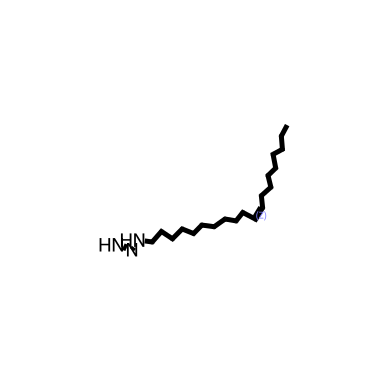 CCCCCCCC/C=C\CCCCCCCCCCNN=N